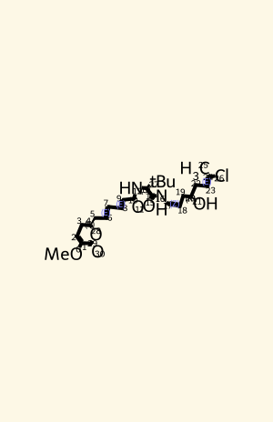 COC1=CC[C@@H](C/C=C/C=C/C(=O)N[C@H](C(=O)N/C=C\C[C@@H](O)C/C=C(\C)Cl)C(C)(C)C)OC1=O